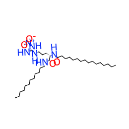 CCCCCCCCCCCCCCCC(=O)N[C@@H](CCCNC(=N)N[N+](=O)[O-])C(=O)NCCCCCCCCCCCC